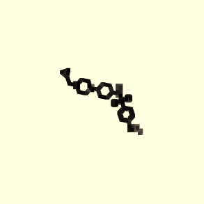 Nc1ccc(S(=O)(=O)NC2CCC(N3CCN(CC4CC4)CC3)CC2)cc1